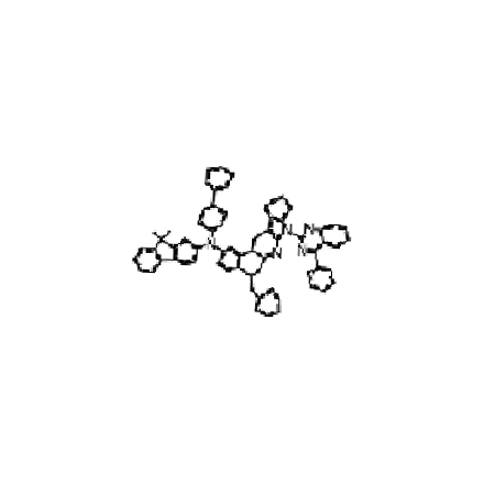 CC1(C)c2ccccc2-c2ccc(N(c3ccc(-c4ccccc4)cc3)c3ccc4c(c3)C3Cc5c(n(-c6nc(-c7ccccc7)c7ccccc7n6)c6ccccc56)N=C3CC4Cc3ccccc3)cc21